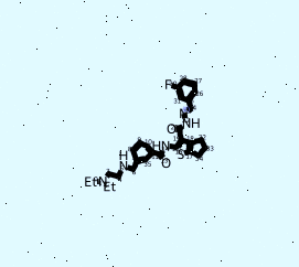 CCN(CC)CCNCc1cccc(C(=O)Nc2sc3c(c2C(=O)N/N=C/c2cccc(F)c2)CCC3)c1